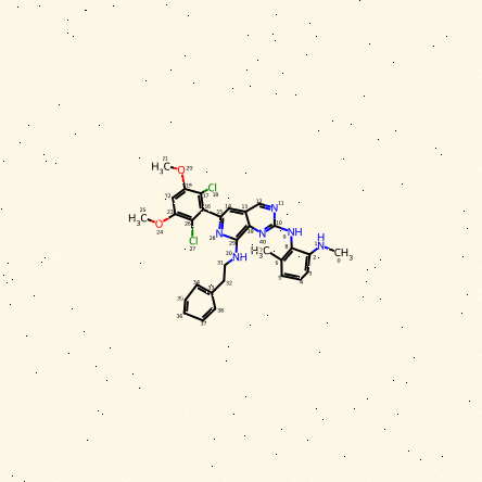 CNc1cccc(C)c1Nc1ncc2cc(-c3c(Cl)c(OC)cc(OC)c3Cl)nc(NCCc3ccccc3)c2n1